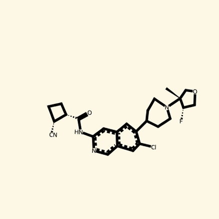 C[C@@]1(N2CCC(c3cc4cc(NC(=O)[C@H]5CC[C@H]5C#N)ncc4cc3Cl)CC2)COC[C@@H]1F